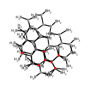 BBB(B)B(B(B(B)B)B(B)B)B(B(BB(B(B(B(B)B)B(B)B)B(B(B)B)B(B)B)B(B(B(B)B)B(B)B)B(B(B)B)B(B)B)B(B(B(B(B)B)B(B)B)B(B(B)B)B(B)B)B(B(B(B)B)B(B)B)B(B(B)B)B(B)B)B(B(B)B)B(B)B